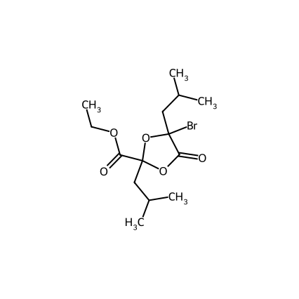 CCOC(=O)C1(CC(C)C)OC(=O)C(Br)(CC(C)C)O1